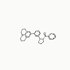 O=C(c1ccccc1)C1CCCC1c1cccc(-c2cc3c4c(c2)CCCN4CCC3)c1